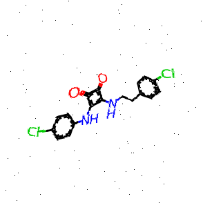 O=c1c(NCCc2ccc(Cl)cc2)c(Nc2ccc(Cl)cc2)c1=O